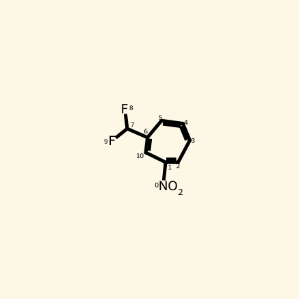 O=[N+]([O-])C1=CC=C=CC(C(F)F)=C1